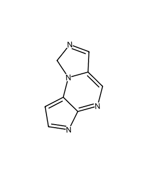 C1=NCn2c1cnc1nccc2-1